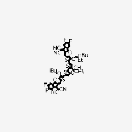 CCCCC(CC)COc1cc(/C=C2\C(=O)c3cc(F)c(F)cc3C2=C(C#N)C#N)sc1-c1cc2c(s1)-c1sc(-c3sc(/C=C4\C(=O)c5cc(F)c(F)cc5C4=C(C#N)C#N)cc3OCC(C)CC)cc1OC2(C)C